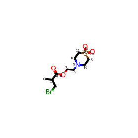 CC(CBr)C(=O)OCCN1CCS(=O)(=O)CC1